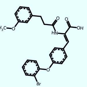 COc1cccc(CCC(=O)N/C(=C\c2ccc(Oc3ccccc3Br)cc2)C(=O)O)c1